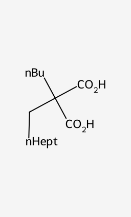 CCCCCCCCC(CCCC)(C(=O)O)C(=O)O